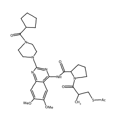 COc1cc2nc(N3CCN(C(=O)C4CCCC4)CC3)nc(NC(=O)C3CCCN3C(=O)C(C)CSC(C)=O)c2cc1OC